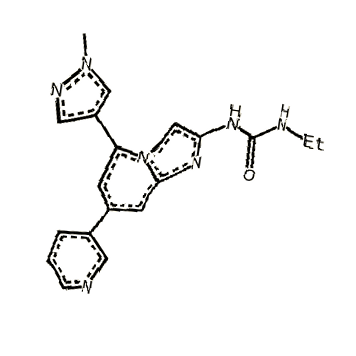 CCNC(=O)Nc1cn2c(-c3cnn(C)c3)cc(-c3cccnc3)cc2n1